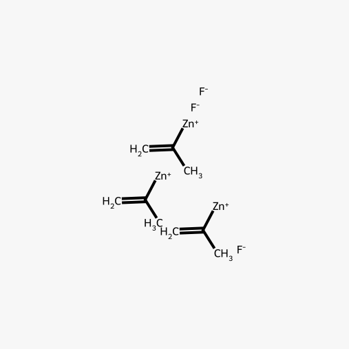 C=[C](C)[Zn+].C=[C](C)[Zn+].C=[C](C)[Zn+].[F-].[F-].[F-]